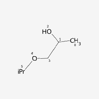 CC(O)COC(C)C